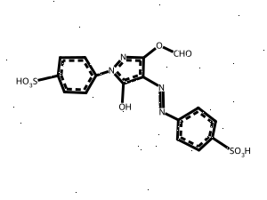 O=COc1nn(-c2ccc(S(=O)(=O)O)cc2)c(O)c1N=Nc1ccc(S(=O)(=O)O)cc1